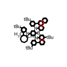 CC(C)(C)c1ccc2c(c1)B1c3ccc(-c4ccccc4)cc3N(c3ccc(C(C)(C)C)cc3-c3ccccc3)c3cc(N4c5ccc(C(C)(C)C)cc5C5(C)CCCCCCC45C)cc(c31)N2c1ccc(C(C)(C)C)cc1-c1ccccc1